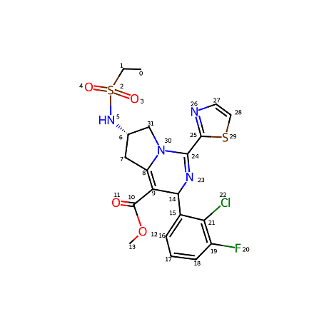 CCS(=O)(=O)N[C@H]1CC2=C(C(=O)OC)C(c3cccc(F)c3Cl)N=C(c3nccs3)N2C1